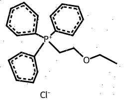 CCOCC[P+](c1ccccc1)(c1ccccc1)c1ccccc1.[Cl-]